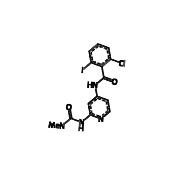 CNC(=O)Nc1cc(NC(=O)c2c(Cl)cccc2I)ccn1